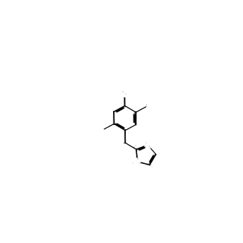 Cc1cc([N+](=O)[O-])c(C)cc1Cc1n[c]cs1